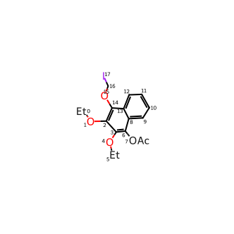 CCOc1c(OCC)c(OC(C)=O)c2ccccc2c1OCI